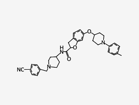 Cc1ccc(N2CCC(Oc3ccc4c(c3)OC(C(=O)NC3CCN(Cc5ccc(C#N)cc5)CC3)C4)CC2)cc1